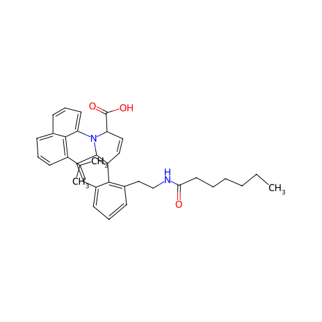 CCCCCCC(=O)NCCc1cccc2ccc3c(c12)C=CC(C(=O)O)N3c1cccc2cccc(C(C)C)c12